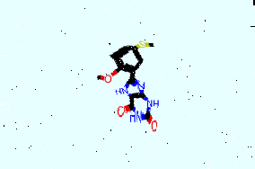 COc1ccc(SC)cc1-c1nc2[nH]c(=O)[nH]c(=O)c2[nH]1